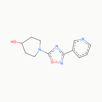 OC1CCN(c2nc(-c3cccnc3)no2)CC1